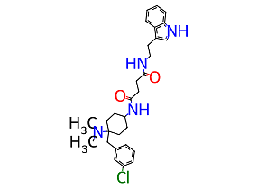 CN(C)C1(Cc2cccc(Cl)c2)CCC(NC(=O)CCC(=O)NCCc2c[nH]c3ccccc23)CC1